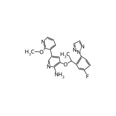 COc1ncccc1-c1cnc(N)c(OC(C)c2cc(F)ccc2-n2nccn2)c1